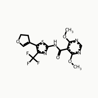 COc1ncnc(OC)c1C(=O)Nc1nc(C(F)(F)F)c(C2=COCC2)s1